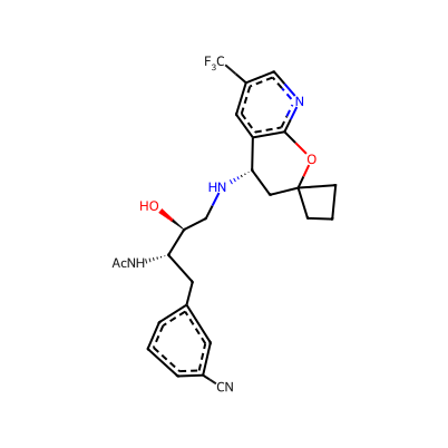 CC(=O)N[C@@H](Cc1cccc(C#N)c1)[C@@H](O)CN[C@H]1CC2(CCC2)Oc2ncc(C(F)(F)F)cc21